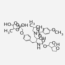 COc1ccc(S(=O)(=O)N(CC(C)C)C[C@@H](O)[C@H](Cc2ccc(OCP(=O)(O)O[C@@H](C)C(=O)O)cc2)NC(=O)O[C@H]2CO[C@H]3OCCC32)cc1